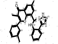 Cc1cccc(-c2oc3c(C(C)Nc4ccccc4-c4nn[nH]n4)cc(C)cc3c(=O)c2C)c1